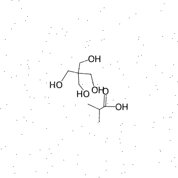 CC(C)C(=O)O.OCC(CO)(CO)CO